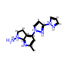 Cc1cc(-n2ccc(-n3cccn3)n2)c2c(n1)N(N)CC2